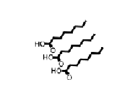 CCCCCCCC(=O)O.CCCCCCCC(=O)O.CCCCCCCC(=O)O